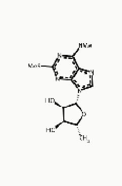 CNc1nc(SC)nc2c1ncn2[C@@H]1O[C@H](C)[C@@H](O)[C@H]1O